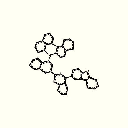 c1ccc2c(N3c4ccc5ccccc5c4-c4cccc5cccc3c45)cc(-c3nc(-c4ccc5oc6ccccc6c5c4)c4ccccc4n3)cc2c1